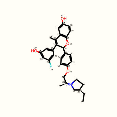 CC[C@@H]1CCN([C@@H](C)COc2ccc(C3Oc4ccc(O)cc4C(C)=C3c3cc(O)cc(F)c3)cc2)C1